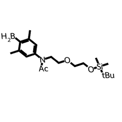 Bc1c(C)cc(N(CCOCCO[Si](C)(C)C(C)(C)C)C(C)=O)cc1C